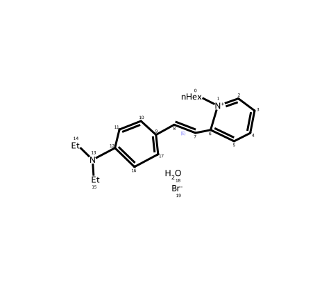 CCCCCC[n+]1ccccc1/C=C/c1ccc(N(CC)CC)cc1.O.[Br-]